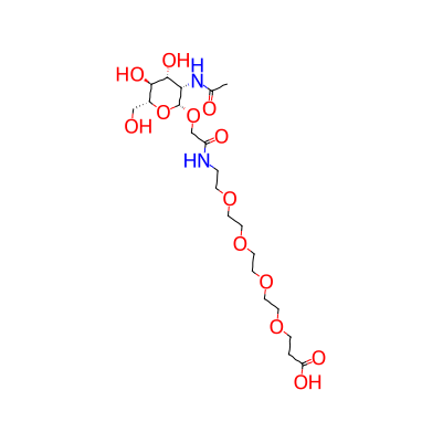 CC(=O)N[C@@H]1[C@H](OCC(=O)NCCOCCOCCOCCOCCC(=O)O)O[C@H](CO)[C@@H](O)[C@@H]1O